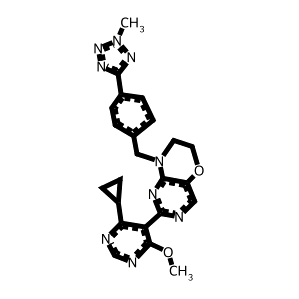 COc1ncnc(C2CC2)c1-c1ncc2c(n1)N(Cc1ccc(-c3nnn(C)n3)cc1)CCO2